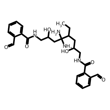 CCC(CC(O)CNC(=O)c1ccccc1C=O)C(N)(N)CC(O)CNC(=O)c1ccccc1C=O